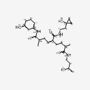 CC(O)CCNC(=O)C(C)CCC(CCC(C)C(=O)NC1CCCC(O)C1)C(=O)NCCC1(O)CC1